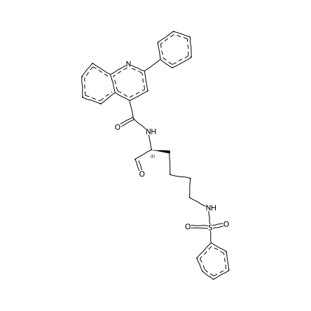 O=C[C@H](CCCCNS(=O)(=O)c1ccccc1)NC(=O)c1cc(-c2ccccc2)nc2ccccc12